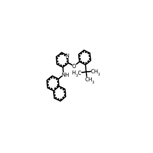 CC(C)(C)c1ccccc1Oc1ncccc1Nc1cccc2ccccc12